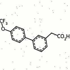 O=C(O)Cc1cccc(-c2ccc(OC(F)(F)F)cc2)c1